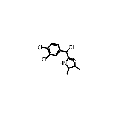 CC1N=C(C(O)c2ccc(Cl)c(Cl)c2)NC1C